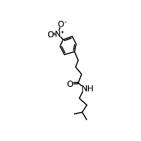 CC(C)CCNC(=O)CCCc1ccc([N+](=O)[O-])cc1